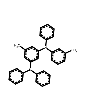 Cc1cccc(N(c2ccccc2)c2cc(C)cc(N(c3ccccc3)c3ccccc3)c2)c1